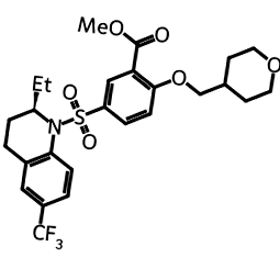 CC[C@@H]1CCc2cc(C(F)(F)F)ccc2N1S(=O)(=O)c1ccc(OCC2CCOCC2)c(C(=O)OC)c1